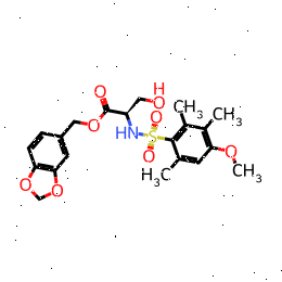 COc1cc(C)c(S(=O)(=O)N[C@H](CO)C(=O)OCc2ccc3c(c2)OCO3)c(C)c1C